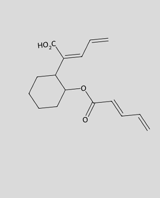 C=CC=CC(=O)OC1CCCCC1C(=CC=C)C(=O)O